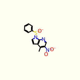 Cc1c([N+](=O)[O-])cnc2c1ccn2[S+]([O-])c1ccccc1